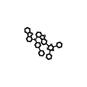 c1ccc(-c2ccc(N(c3cccc4c3sc3ccccc34)c3cccc4oc5cc(-c6nc(-c7ccccc7)nc(-c7ccccc7)n6)ccc5c34)cc2)cc1